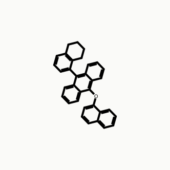 c1cc2c(c(-c3c4ccccc4c(Oc4cccc5ccccc45)c4ccccc34)c1)CCCC2